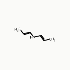 CC=CNC=CC